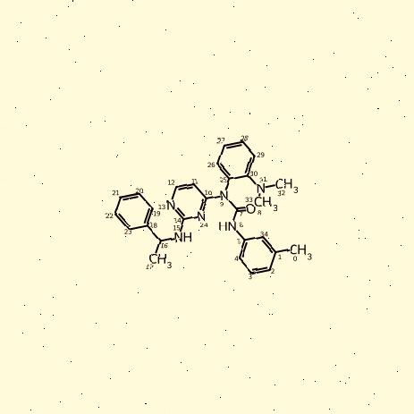 Cc1cccc(NC(=O)N(c2ccnc(NC(C)c3ccccc3)n2)c2ccccc2N(C)C)c1